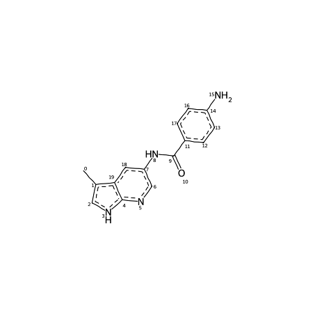 Cc1c[nH]c2ncc(NC(=O)c3ccc(N)cc3)cc12